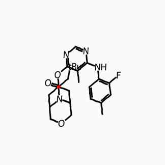 Cc1ccc(Nc2ncnc(OC3CC4COCC(C3)N4C(=O)CC(C)(C)C)c2C)c(F)c1